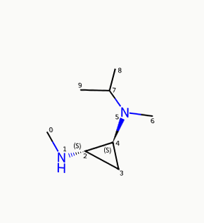 CN[C@H]1C[C@@H]1N(C)C(C)C